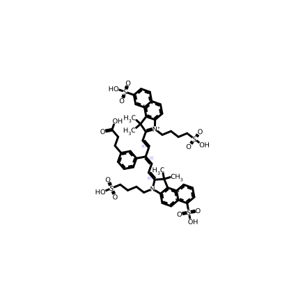 CC1(C)C(/C=C/C(=C/C=C2/N(CCCCS(=O)(=O)O)c3ccc4c(S(=O)(=O)O)cccc4c3C2(C)C)c2cccc(CCC(=O)O)c2)=[N+](CCCCS(=O)(=O)O)c2ccc3ccc(S(=O)(=O)O)cc3c21